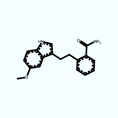 COc1ccc2[nH]cc(CCc3ccccc3C(N)=O)c2c1